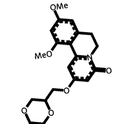 COc1cc2c(c(OC)c1)-c1cc(OCC3COCCO3)cc(=O)n1CC2